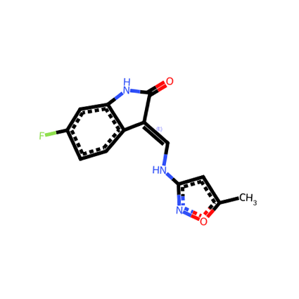 Cc1cc(N/C=C2/C(=O)Nc3cc(F)ccc32)no1